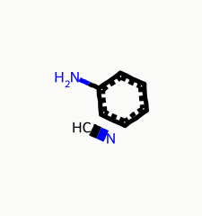 C#N.Nc1ccccc1